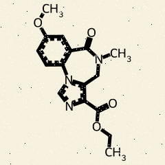 CCOC(=O)c1ncn2c1CN(C)C(=O)c1cc(OC)ccc1-2